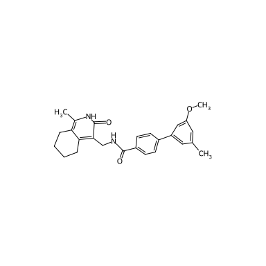 COc1cc(C)cc(-c2ccc(C(=O)NCc3c4c(c(C)[nH]c3=O)CCCC4)cc2)c1